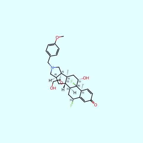 COc1ccc(CN2C[C@@H]3C[C@H]4[C@@H]5C[C@H](F)C6=CC(=O)C=C[C@]6(C)[C@@]5(F)[C@@H](O)C[C@]4(C)[C@]3(C(=O)CO)C2)cc1